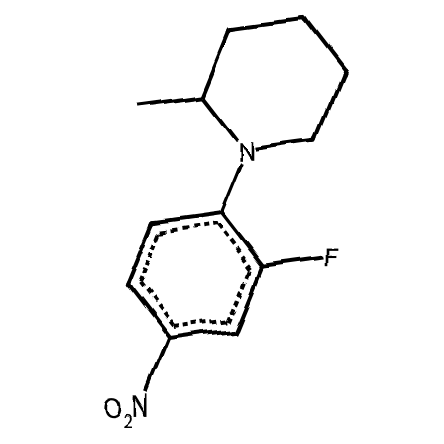 CC1CCCCN1c1ccc([N+](=O)[O-])cc1F